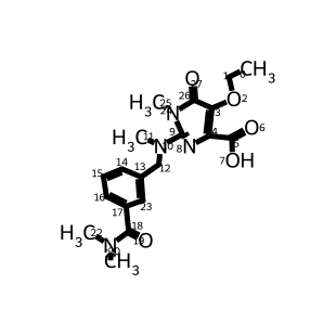 CCOc1c(C(=O)O)nc(N(C)Cc2cccc(C(=O)N(C)C)c2)n(C)c1=O